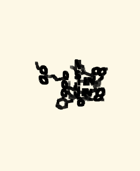 CCOC(=O)CCC(=O)OC(C)(CI)C(=O)[C@H](Cc1ccccc1)NC(=O)[C@H](COC)NC(=O)[C@H](COC)NC(=O)c1cnc(C)s1